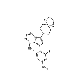 Nc1ccc(-c2cc(C3CCC4(CC3)OCCO4)n3ncnc(N)c23)c(F)c1